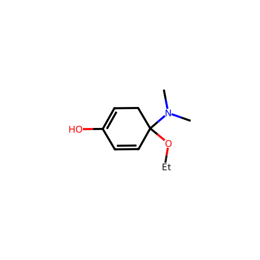 CCOC1(N(C)C)C=CC(O)=CC1